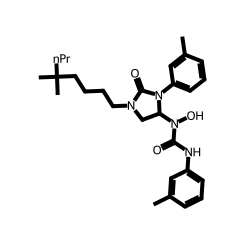 CCCC(C)(C)CCCCN1CC(N(O)C(=O)Nc2cccc(C)c2)N(c2cccc(C)c2)C1=O